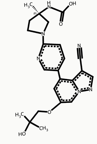 CC(C)(O)COc1cc(-c2ccc(N3CC[C@@](C)(NC(=O)O)C3)nc2)c2c(C#N)cnn2c1